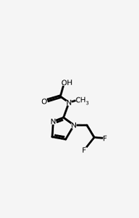 CN(C(=O)O)c1nccn1CC(F)F